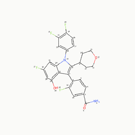 NC(=O)c1ccc(-c2c(C3CCOCC3)n(-c3ccc(F)c(F)c3)c3cc(F)cc(O)c23)c(F)c1